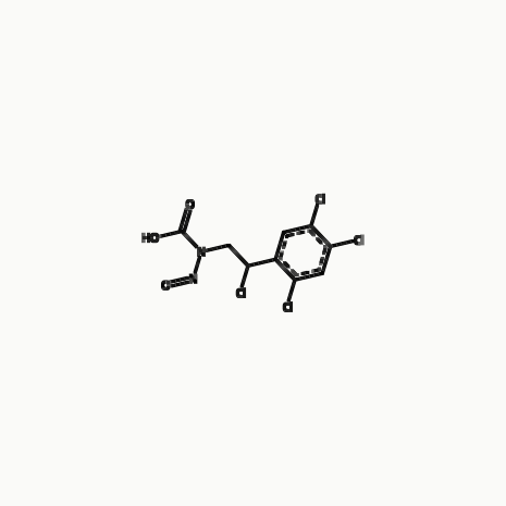 O=NN(CC(Cl)c1cc(Cl)c(Cl)cc1Cl)C(=O)O